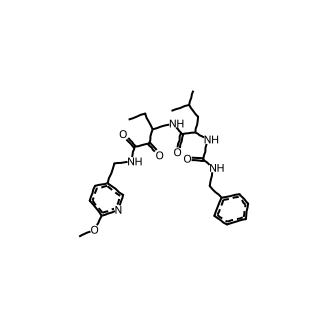 CCC(NC(=O)C(CC(C)C)NC(=O)NCc1ccccc1)C(=O)C(=O)NCc1ccc(OC)nc1